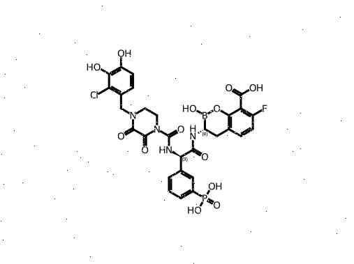 O=C(O)c1c(F)ccc2c1OB(O)[C@@H](NC(=O)[C@H](NC(=O)N1CCN(Cc3ccc(O)c(O)c3Cl)C(=O)C1=O)c1cccc(P(=O)(O)O)c1)C2